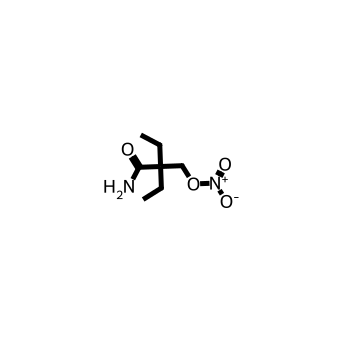 CCC(CC)(CO[N+](=O)[O-])C(N)=O